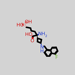 NC(CCCCB(O)O)(C(=O)O)[C@H]1C[C@@H](NCc2cccc3c(F)cccc23)C1